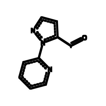 O=[C]c1ccnn1-c1ccccn1